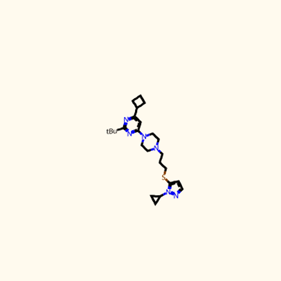 CC(C)(C)c1nc(C2CCC2)cc(N2CCN(CCCSc3ccnn3C3CC3)CC2)n1